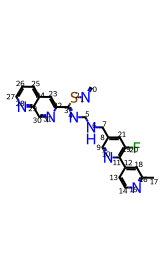 C=NS/C(=N\CNCc1cnc(-c2ccnc(C)c2)c(F)c1)c1cc2cccnc2cn1